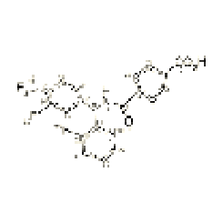 O=C(O)c1ccc(C(=O)N[C@@H](c2ccc(C(F)(F)F)c(F)c2)c2ncccc2F)cc1